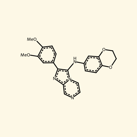 COc1ccc(-c2nc3cnccn3c2Nc2ccc3c(c2)OCCO3)cc1OC